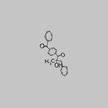 CC(O)(Cc1ccccc1)C(=O)c1ccc(C(=O)c2ccccc2)cc1